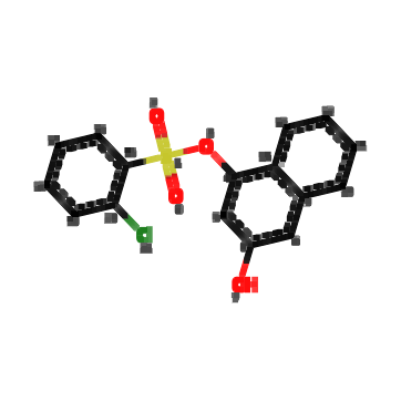 O=S(=O)(Oc1cc(O)cc2ccccc12)c1ccccc1Cl